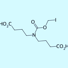 O=C(O)CCCN(CCCC(=O)O)C(=O)OCI